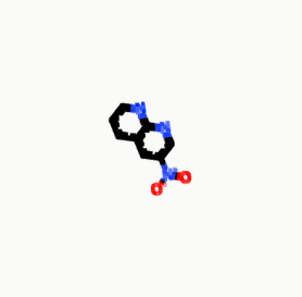 O=[N+]([O-])c1cnc2ncccc2c1